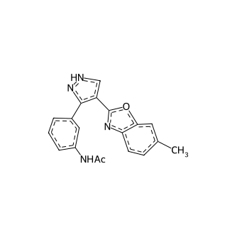 CC(=O)Nc1cccc(-c2n[nH]cc2-c2nc3ccc(C)cc3o2)c1